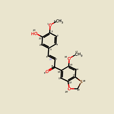 COc1ccc(/C=C/C(=O)c2cc3c(cc2OC)SCO3)cc1O